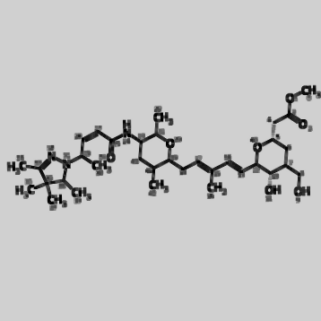 COC(=O)C[C@@H]1CC(CO)[C@H](O)C(/C=C/C(C)=C/CC2OC(C)C(NC(=O)/C=C\C(C)N3N=C(C)C(C)(C)C3C)CC2C)O1